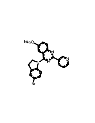 COc1ccc2nc(-c3cccnc3)nc(N3CCc4cc(Br)ccc43)c2c1